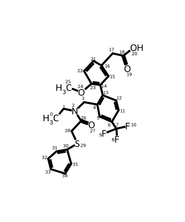 CCN(Cc1cc(C(F)(F)F)ccc1-c1cc(CC(=O)O)ccc1OC)C(=O)CSc1ccccc1